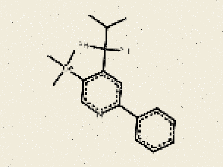 [2H]C([2H])(c1cc(-c2ccccc2)nc[c]1[Ge]([CH3])([CH3])[CH3])C(C)C